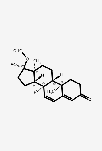 CC(=O)[C@@]1(OC=O)CC[C@H]2[C@@H]3C=CC4=CC(=O)CC[C@]4(C)[C@H]3CC[C@@]21C